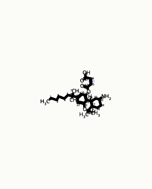 CCCCCCC(C)(C)c1cc(OC(=O)/C=C\C(=O)O)c2c(c1)OC(C)(C)[C@@H]1CCC(N)C[C@@H]21